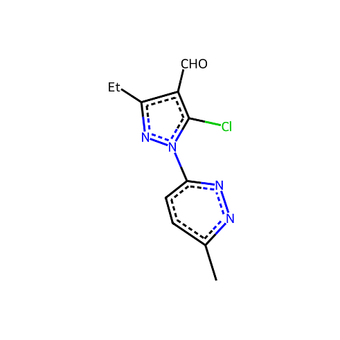 CCc1nn(-c2ccc(C)nn2)c(Cl)c1C=O